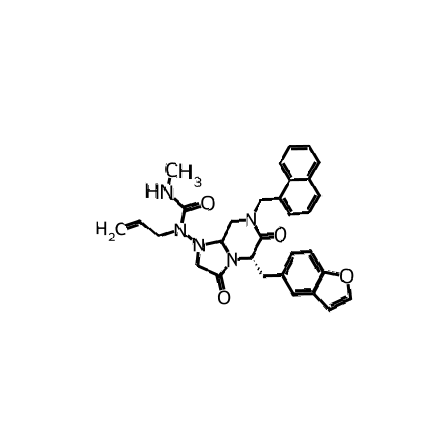 C=CCN(C(=O)NC)N1CC(=O)N2C1CN(Cc1cccc3ccccc13)C(=O)[C@@H]2Cc1ccc2occc2c1